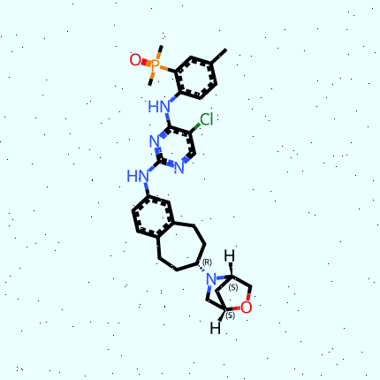 Cc1ccc(Nc2nc(Nc3ccc4c(c3)CC[C@H](N3C[C@@H]5C[C@H]3CO5)CC4)ncc2Cl)c(P(C)(C)=O)c1